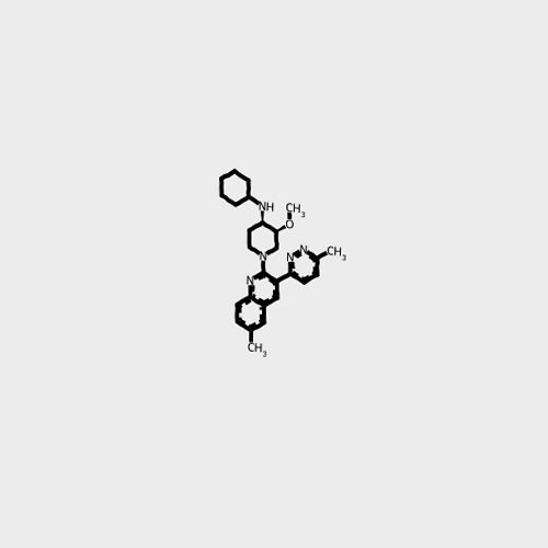 CO[C@H]1CN(c2nc3ccc(C)cc3cc2-c2ccc(C)nn2)CC[C@H]1NC1CCCCC1